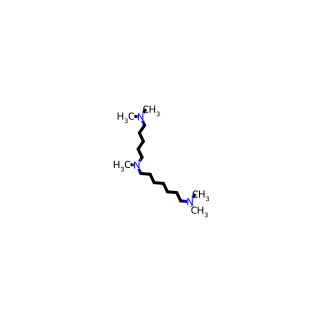 CN(C)CCCCCCCN(C)CCCCCN(C)C